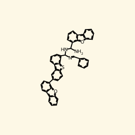 NC(NC(/N=C/c1ccccc1)c1cccc2c1sc1ccc(-c3cccc4c3oc3ccccc34)cc12)c1cccc2c1oc1ccccc12